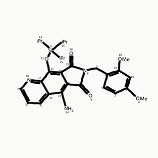 COc1ccc(CN2C(=O)c3c(c(O[Si](C(C)C)(C(C)C)C(C)C)c4ncccc4c3N)C2=O)c(OC)c1